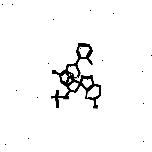 CC(=O)N1CCC2=C(C1)C(CC(CN1CCN(c3ccccc3C)CC1)NS(C)(=O)=O)(c1ccc(Cl)cc1)N=N2